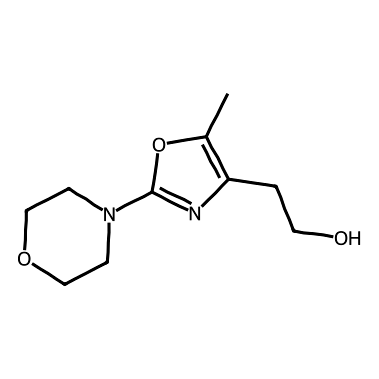 Cc1oc(N2CCOCC2)nc1CCO